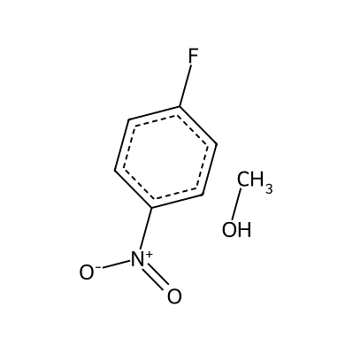 CO.O=[N+]([O-])c1ccc(F)cc1